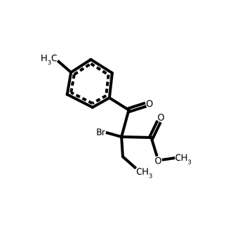 CCC(Br)(C(=O)OC)C(=O)c1ccc(C)cc1